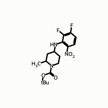 CC1CC(Nc2c([N+](=O)[O-])ccc(F)c2F)CCN1C(=O)OC(C)(C)C